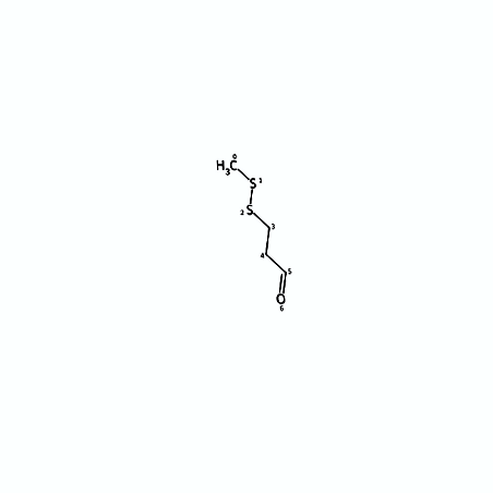 CSSCCC=O